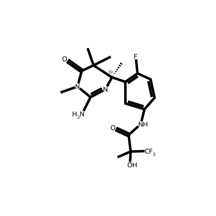 CN1C(=O)C(C)(C)[C@@](C)(c2cc(NC(=O)C(C)(O)C(F)(F)F)ccc2F)N=C1N